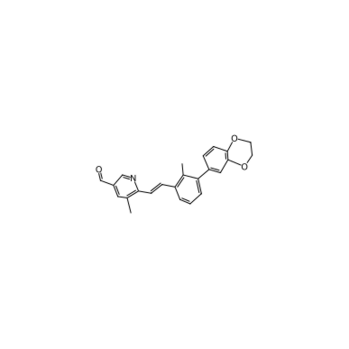 Cc1cc(C=O)cnc1/C=C/c1cccc(-c2ccc3c(c2)OCCO3)c1C